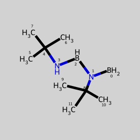 BN(BNC(C)(C)C)C(C)(C)C